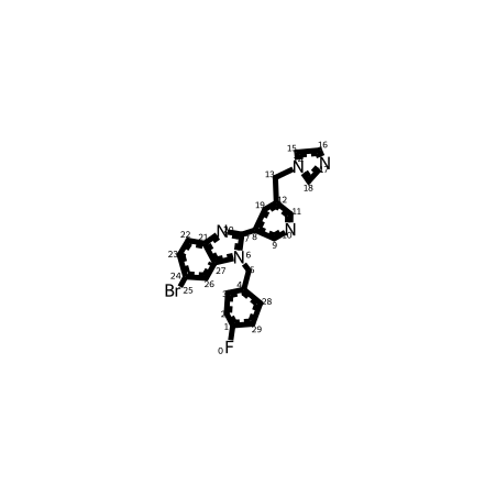 Fc1ccc(Cn2c(-c3cncc(Cn4ccnc4)c3)nc3ccc(Br)cc32)cc1